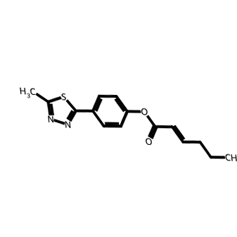 CCC/C=C/C(=O)Oc1ccc(-c2nnc(C)s2)cc1